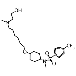 CN(CCO)CCCCCCO[C@H]1CC[C@H](N(C)S(=O)(=O)c2ccc(C(F)(F)F)cc2)CC1